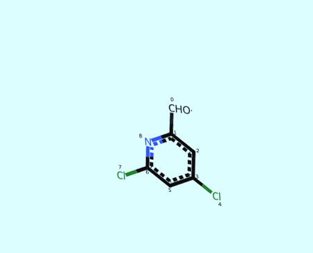 O=[C]c1cc(Cl)cc(Cl)n1